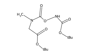 CN(CC(=O)OC(C)(C)C)C(=O)ONC(=O)OC(C)(C)C